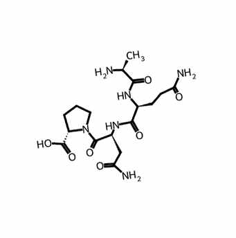 C[C@H](N)C(=O)N[C@@H](CCC(N)=O)C(=O)N[C@@H](CC(N)=O)C(=O)N1CCC[C@H]1C(=O)O